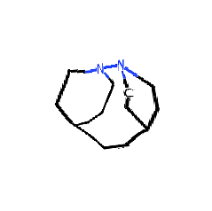 C1CC2CCN(CC2)N2CCC1CC2